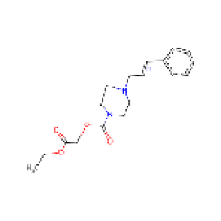 CCOC(=O)COC(=O)N1CCN(C/C=C/c2ccccc2)CC1